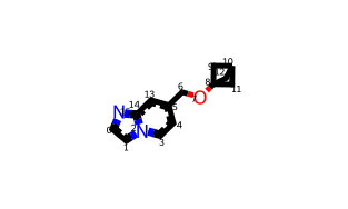 c1cn2ccc(COC34CC(C3)C4)cc2n1